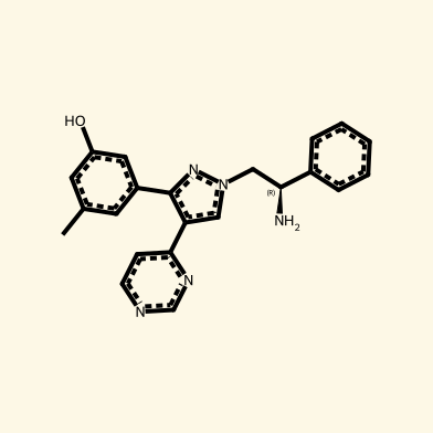 Cc1cc(O)cc(-c2nn(C[C@H](N)c3ccccc3)cc2-c2ccncn2)c1